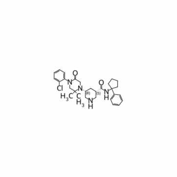 CC1(C)CN(c2ccccc2Cl)C(=O)CN1[C@H]1CNC[C@@H](C(=O)NC2(c3ccccc3)CCCC2)C1